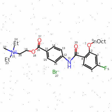 CCCCCCCCOc1cc(F)ccc1C(=O)Nc1ccc(C(=O)OCC[N+](C)(CC)CC)cc1.[Br-]